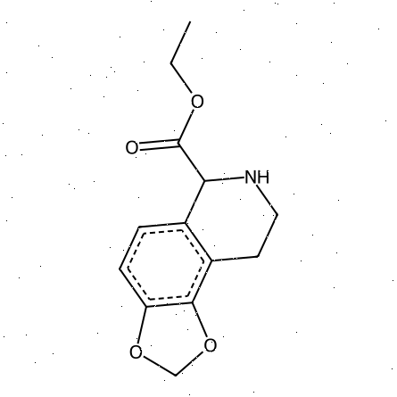 CCOC(=O)C1NCCc2c1ccc1c2OCO1